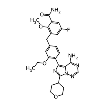 CCOc1cc(Cc2cc(F)cc(C(N)=O)c2OC)ccc1-c1nc(C2CCOCC2)n2ncnc(N)c12